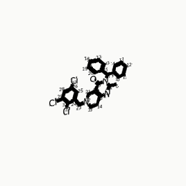 Cc1nc2c(c(=O)n1C(c1ccccc1)c1ccccc1)CN(Cc1cc(Cl)cc(Cl)c1Cl)CC2